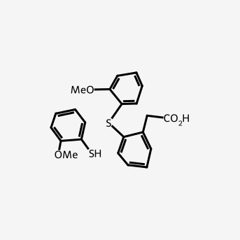 COc1ccccc1S.COc1ccccc1Sc1ccccc1CC(=O)O